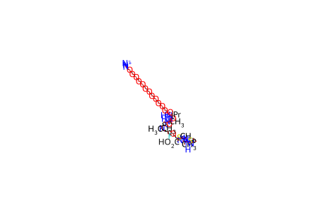 Cc1cc(N(C)c2nc(C(=O)O)c(CCCOc3ccc(C#CC[N+](C)(C)Cc4ccc(NC(=O)[C@H](C)NC(=O)[C@@H](NC(=O)CCOCCOCCOCCOCCOCCOCCOCCOCCOCCOCCOCCOCCN=[N+]=[N-])C(C)C)cc4)cc3F)s2)nnc1Nc1nc2ccccc2s1